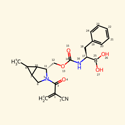 C=C(C#N)C(=O)N1CC2C(C)C2[C@@H]1COC(=O)N[C@@H](Cc1ccccc1)B(O)O